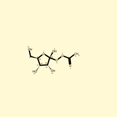 CC(=O)OO[C@@]1(O)O[C@H](CO)[C@@H](O)[C@H]1O